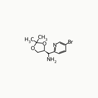 CC1(C)OC[C@H](C(N)c2ccc(Br)cn2)O1